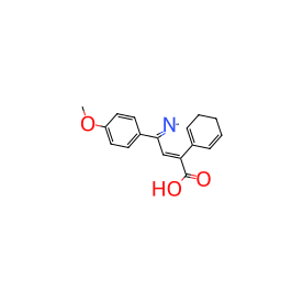 C/N=C(\C=C(\C(=O)O)C1=CCCC=C1)c1ccc(OC)cc1